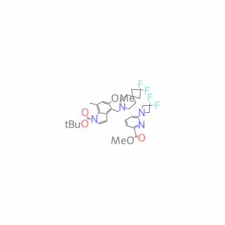 COC(=O)c1ccc([C@H]2CC3(CCN2Cc2c(OC)cc(C)c4c2ccn4C(=O)OC(C)(C)C)CC(F)(F)C3)c(N2CC(F)(F)C2)n1